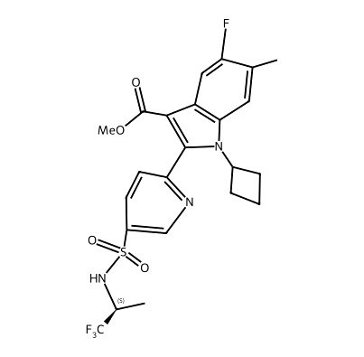 COC(=O)c1c(-c2ccc(S(=O)(=O)N[C@@H](C)C(F)(F)F)cn2)n(C2CCC2)c2cc(C)c(F)cc12